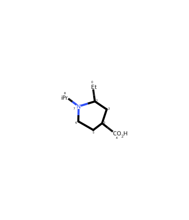 CCC1CC(C(=O)O)CCN1C(C)C